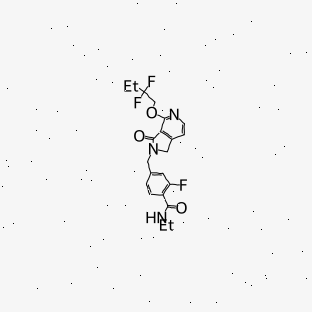 CCNC(=O)c1ccc(CN2Cc3ccnc(OCC(F)(F)CC)c3C2=O)cc1F